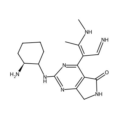 CN/C(C)=C(\C=N)c1nc(NC2CCCC[C@@H]2N)nc2c1C(=O)NC2